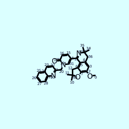 COc1cc2c(c3c1OC(C)(C)C3)C(c1ccc(=O)n(Cc3ccc4ccccc4n3)c1)=NC(C)(C)C2